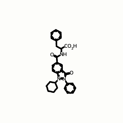 O=C(NC(Cc1ccccc1)C(=O)O)c1ccc2c(c1)c(=O)n(-c1ccccc1)n2C1CCCCC1